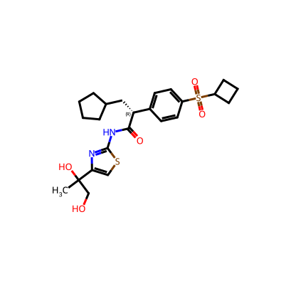 CC(O)(CO)c1csc(NC(=O)[C@H](CC2CCCC2)c2ccc(S(=O)(=O)C3CCC3)cc2)n1